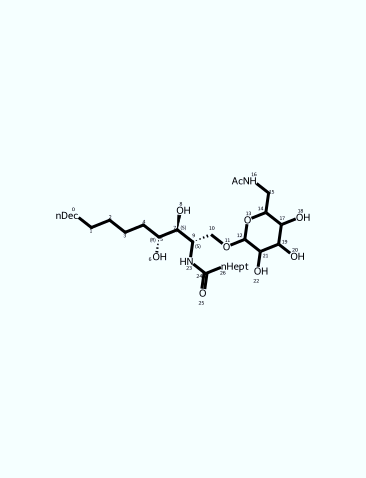 CCCCCCCCCCCCCC[C@@H](O)[C@@H](O)[C@H](COC1OC(CNC(C)=O)C(O)C(O)C1O)NC(=O)CCCCCCC